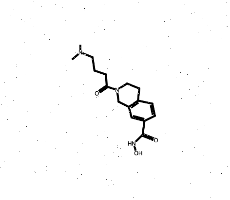 CN(C)CCCC(=O)N1CCc2ccc(C(=O)NO)cc2C1